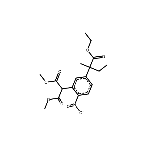 CCOC(=O)C(C)(CC)c1ccc([N+](=O)[O-])c(C(C(=O)OC)C(=O)OC)c1